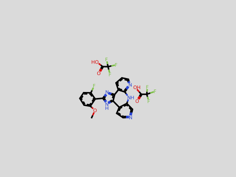 COc1cccc(F)c1-c1nc2c([nH]1)-c1ccncc1Nc1ncccc1-2.O=C(O)C(F)(F)F.O=C(O)C(F)(F)F